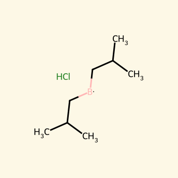 CC(C)C[B]CC(C)C.Cl